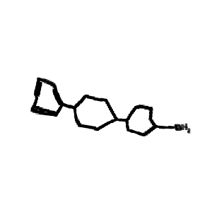 BC1CCC(C2CCC(c3ccccc3)CC2)CC1